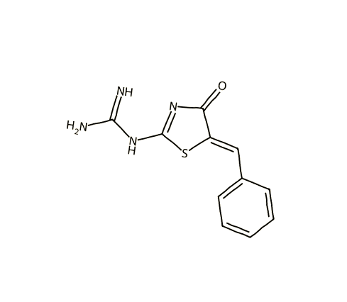 N=C(N)NC1=NC(=O)/C(=C/c2ccccc2)S1